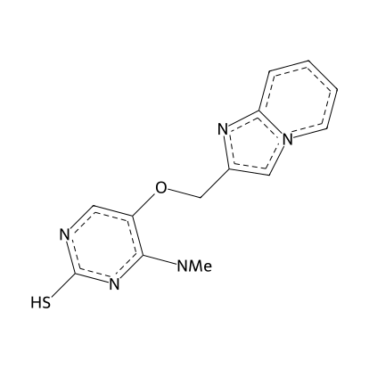 CNc1nc(S)ncc1OCc1cn2ccccc2n1